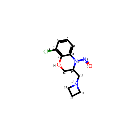 O=NN1c2cccc(Cl)c2OCC1CN1CCC1